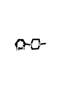 [CH2]N1CCN(c2cccnn2)CC1